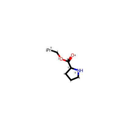 CC(C)COC(=O)C1CCCN1